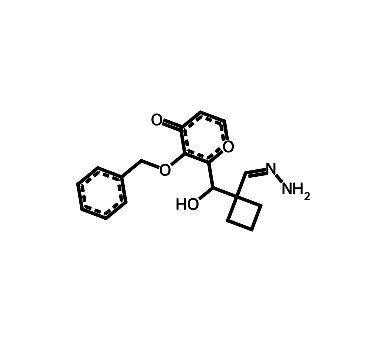 N/N=C\C1(C(O)c2occc(=O)c2OCc2ccccc2)CCC1